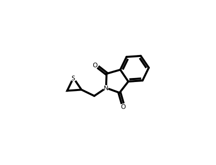 O=C1c2ccccc2C(=O)N1CC1CS1